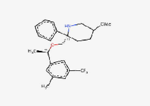 COC1CC[C@@](CO[C@H](C)c2cc(C)cc(C(F)(F)F)c2)(c2ccccc2)NC1